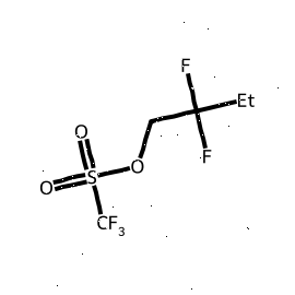 CCC(F)(F)COS(=O)(=O)C(F)(F)F